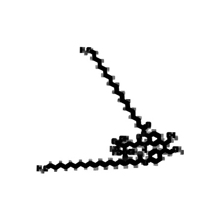 CCCCCCCCC/C=C/C=C/C=C/C=C/C=C/C(=O)Oc1ccc(C(CC)C(CC)c2ccc(OC(=O)/C=C/C=C/C=C/C=C/C=C/CCCCCCCCC)c(NC(=O)CCC(P(=O)(O)O)P(=O)(O)O)c2)cc1